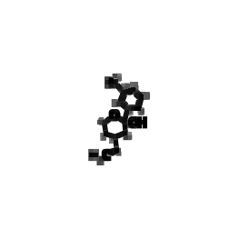 C=CC1CCOC(O)(c2cccc(Br)c2)C1